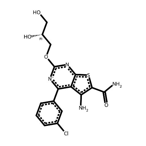 NC(=O)c1sc2nc(OC[C@H](O)CO)nc(-c3cccc(Cl)c3)c2c1N